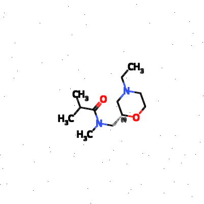 CCN1CCO[C@H](CN(C)C(=O)C(C)C)C1